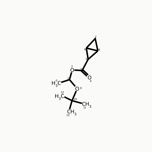 CC(OC(=O)C1C2CC21)OC(C)(C)C